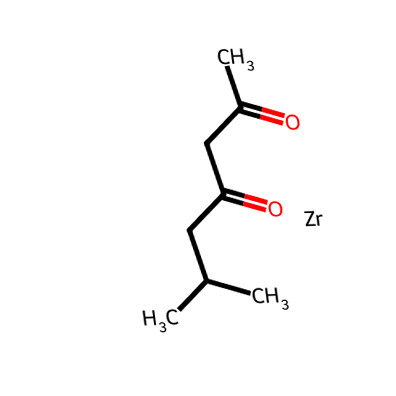 CC(=O)CC(=O)CC(C)C.[Zr]